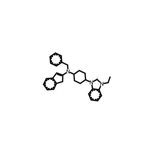 CCN1[CH]N(C2CCC(N(Cc3ccccc3)C3=Cc4ccccc4C3)CC2)c2ccccc21